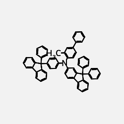 Cc1cc(-c2ccccc2)ccc1N(c1ccc(C2(c3ccccc3)c3ccccc3-c3ccccc32)cc1)c1ccc2c(c1)C(c1ccccc1)(c1ccccc1)c1ccccc1-2